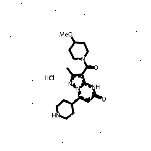 COC1CCN(C(=O)c2c(C)nn3c(C4CCNCC4)cc(=O)[nH]c23)CC1.Cl